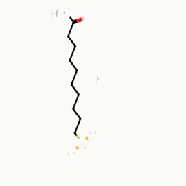 CC(=O)CCCCCCCCCS(=O)(=O)[O-].[K+]